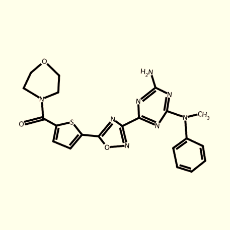 CN(c1ccccc1)c1nc(N)nc(-c2noc(-c3ccc(C(=O)N4CCOCC4)s3)n2)n1